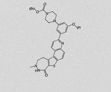 CC(C)Oc1cc(-c2ccc3c(ccc4sc5c(c43)CCN(C)NC5=O)n2)cc(N2CCN(C(=O)OC(C)(C)C)CC2)c1